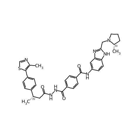 Cc1ncsc1-c1ccc([C@@H](C)CC(=O)NNC(=O)c2ccc(C(=O)Nc3ccc4[nH]c(CN5CCC[C@@H]5C)nc4c3)cc2)cc1